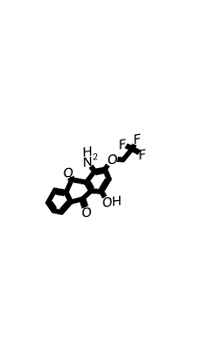 Nc1c(OCC(F)(F)F)cc(O)c2c1C(=O)c1ccccc1C2=O